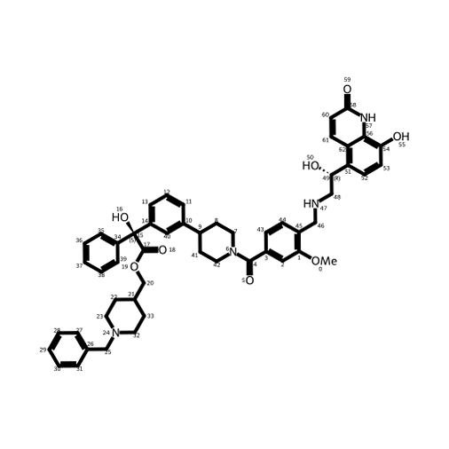 COc1cc(C(=O)N2CCC(c3cccc([C@](O)(C(=O)OCC4CCN(Cc5ccccc5)CC4)c4ccccc4)c3)CC2)ccc1CNC[C@H](O)c1ccc(O)c2[nH]c(=O)ccc12